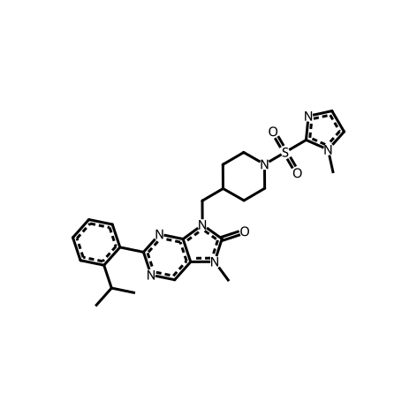 CC(C)c1ccccc1-c1ncc2c(n1)n(CC1CCN(S(=O)(=O)c3nccn3C)CC1)c(=O)n2C